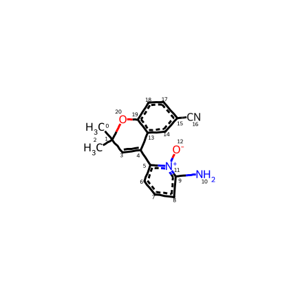 CC1(C)C=C(c2cccc(N)[n+]2[O-])c2cc(C#N)ccc2O1